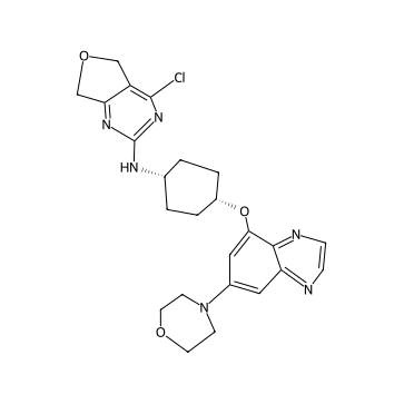 Clc1nc(N[C@H]2CC[C@@H](Oc3cc(N4CCOCC4)cc4nccnc34)CC2)nc2c1COC2